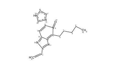 C=CC1=NC2=C(CCCCC)C(=O)C=CC2=N1.c1c[nH]cn1